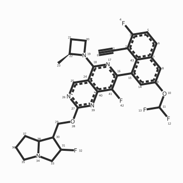 C#Cc1c(F)ccc2cc(OC(F)F)cc(-c3nc(N4CC[C@@H]4C)c4cnc(OCC5C(F)CN6CCCC56)nc4c3F)c12